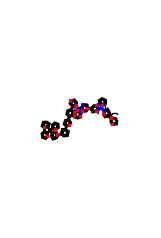 c1ccc(-c2ccc(-n3c4ccccc4c4cc(-c5ccc6c(c5)c5ccccc5n6-c5ccccc5-c5ccc(-c6ccc(-c7cccc(-c8cccc(C9(c%10ccccc%10)c%10ccccc%10-c%10ccccc%109)c8)c7)cc6)cc5)ccc43)cc2)cc1